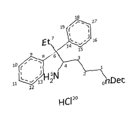 CCCCCCCCCCCCCC(N)C(CC)(c1ccccc1)c1ccccc1.Cl